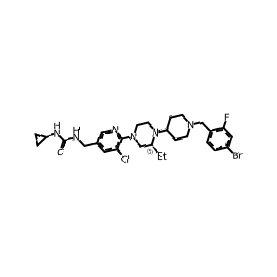 CC[C@H]1CN(c2ncc(CNC(=O)NC3CC3)cc2Cl)CCN1C1CCN(Cc2ccc(Br)cc2F)CC1